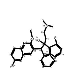 COc1nc2ccc(Br)cc2cc1C(c1ccccc1)C(O)(CCN(C)C)c1ccccc1F